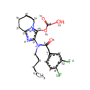 CCCCN(C(=O)c1ccc(F)c(F)c1)c1nc2n(c1OC(=O)O)CCCC2